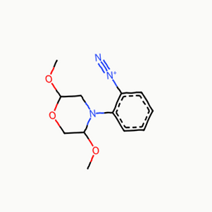 COC1CN(c2ccccc2[N+]#N)C(OC)CO1